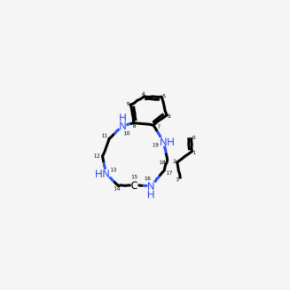 C=CCC.c1ccc2c(c1)NCCNCCNCCN2